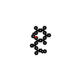 c1ccc(N(c2ccc(N(c3ccccc3)c3ccc(N(c4ccccc4)c4ccc(N(c5ccccc5)c5ccc6c(c5)Cc5ccccc5-6)cc4)cc3)cc2)c2ccc(N(c3ccccc3)c3ccc(N(c4ccccc4)c4ccc(N(c5ccccc5)c5ccc6c(c5)Cc5ccccc5-6)cc4)cc3)cc2)cc1